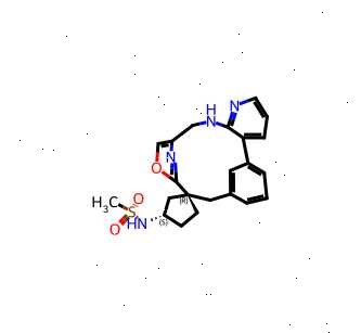 CS(=O)(=O)N[C@H]1CC[C@@]2(Cc3cccc(c3)-c3cccnc3NCc3coc2n3)C1